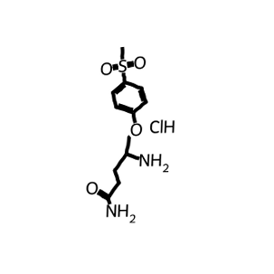 CS(=O)(=O)c1ccc(OCC(N)CCC(N)=O)cc1.Cl